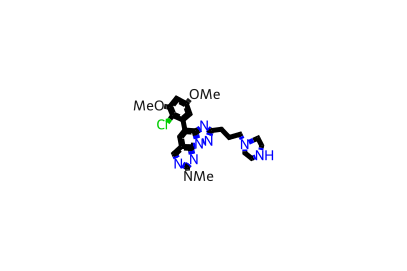 CNc1ncc2cc(-c3cc(OC)cc(OC)c3Cl)c3nc(CCCN4CCNCC4)nn3c2n1